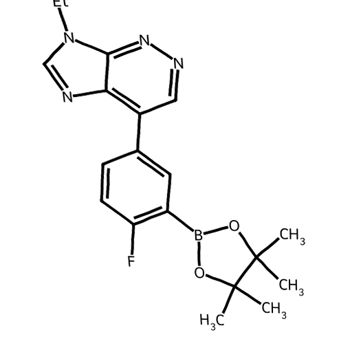 CCn1cnc2c(-c3ccc(F)c(B4OC(C)(C)C(C)(C)O4)c3)cnnc21